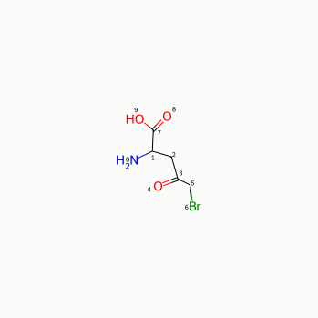 NC(CC(=O)CBr)C(=O)O